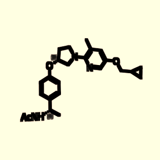 CC(=O)N[C@@H](C)c1ccc(O[C@@H]2CCN(c3ncc(OCC4CC4)cc3C)C2)cc1